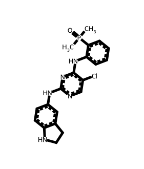 CP(C)(=O)c1ccccc1Nc1nc(Nc2ccc3c(c2)CCN3)ncc1Cl